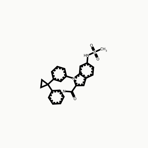 CS(=O)(=O)Nc1ccc2cc(C(N)=O)n(-c3cccc(C4(c5ccccc5)CC4)c3)c2c1